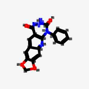 NC(=O)c1cc2cc3c(cc2nc1N(C(N)=O)c1ccccc1)OCO3